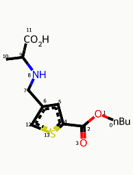 CCCCOC(=O)c1cc(CNC(C)C(=O)O)cs1